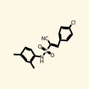 Cc1ccc(NS(=O)(=O)/C(C#N)=C/c2ccc(Cl)cc2)c(C)c1